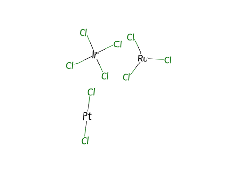 [Cl][Ir]([Cl])([Cl])[Cl].[Cl][Pt][Cl].[Cl][Ru]([Cl])[Cl]